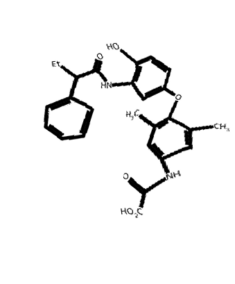 CCC(C(=O)Nc1cc(Oc2c(C)cc(NC(=O)C(=O)O)cc2C)ccc1O)c1ccccc1